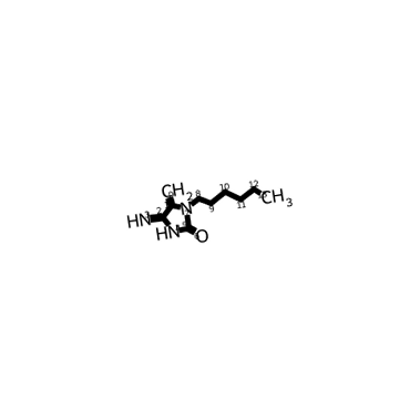 C=C1C(=N)NC(=O)N1CCCCCC